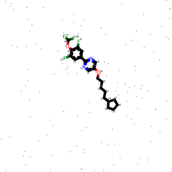 Fc1cc(-c2ncc(OCCCCCC3CCCC3)cn2)cc(F)c1OC(F)F